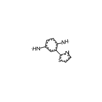 [NH]c1ccc([NH])c(-c2nccs2)c1